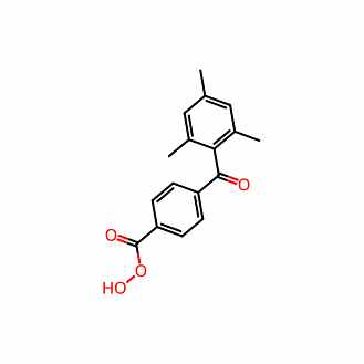 Cc1cc(C)c(C(=O)c2ccc(C(=O)OO)cc2)c(C)c1